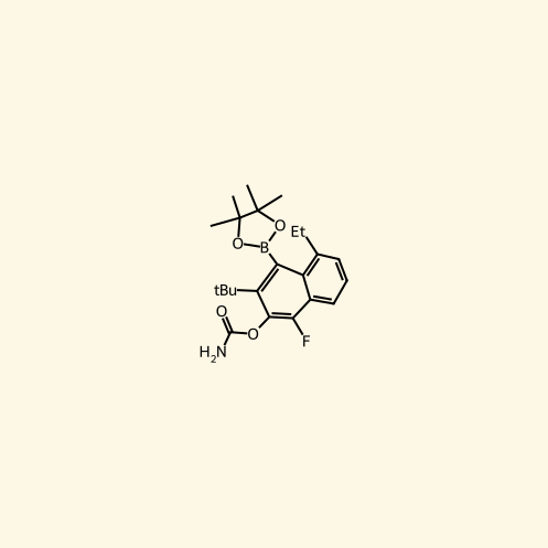 CCc1cccc2c(F)c(OC(N)=O)c(C(C)(C)C)c(B3OC(C)(C)C(C)(C)O3)c12